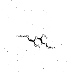 CCCCCCOC=C(C)OC(C)=COCCCCCC